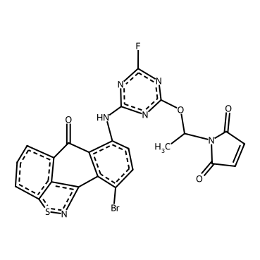 CC(Oc1nc(F)nc(Nc2ccc(Br)c3c2C(=O)c2cccc4snc-3c24)n1)N1C(=O)C=CC1=O